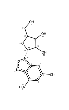 Nc1cc(Cl)nc2c1ncn2[C@@H]1OC(CO)C(O)C1O